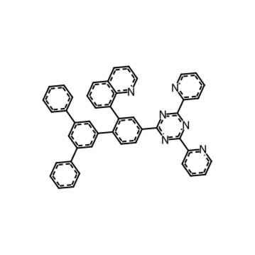 c1ccc(-c2cc(-c3ccccc3)cc(-c3ccc(-c4nc(-c5ccccn5)nc(-c5ccccn5)n4)cc3-c3cccc4cccnc34)c2)cc1